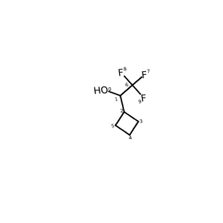 OC(C1CCC1)C(F)(F)F